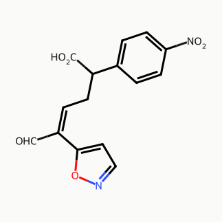 O=CC(=CCC(C(=O)O)c1ccc([N+](=O)[O-])cc1)c1ccno1